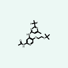 CC(=O)Nc1cc(Nc2cc(C)nc(C(C)(F)F)n2)c(OCCOC(C)(C)C)cn1